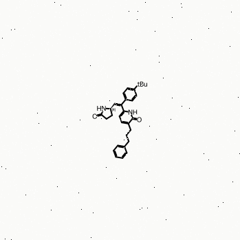 CC(C)(C)c1ccc(C(=C[C@H]2CCC(=O)N2)c2ccc(CCCc3ccccc3)c(=O)[nH]2)cc1